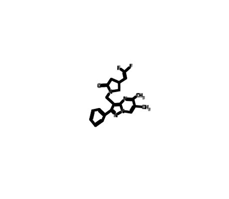 Cc1cn2nc(-c3ccccc3)c(CN3CC(C=C(F)F)CC3=O)c2nc1C